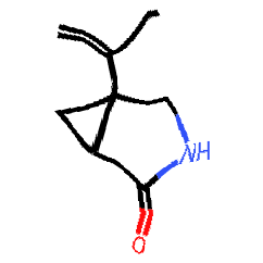 C=C(C)C12CNC(=O)C1C2